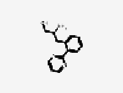 N[C@H](CO)Cc1ccccc1-c1ncccn1